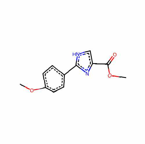 COC(=O)c1c[nH]c(-c2ccc(OC)cc2)n1